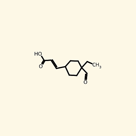 CCC1(C=O)CCC(/C=C/C(=O)O)CC1